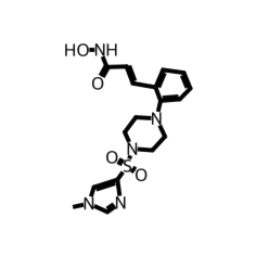 Cn1cnc(S(=O)(=O)N2CCN(c3ccccc3C=CC(=O)NO)CC2)c1